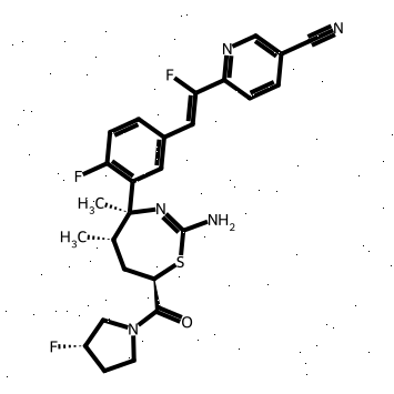 C[C@H]1C[C@H](C(=O)N2CC[C@H](F)C2)SC(N)=N[C@]1(C)c1cc(/C=C(\F)c2ccc(C#N)cn2)ccc1F